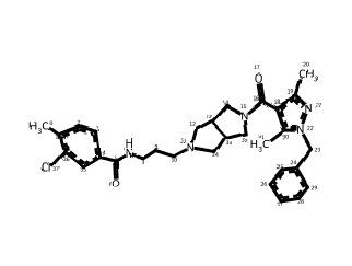 Cc1ccc(C(=O)NCCCN2CC3CN(C(=O)c4c(C)nn(Cc5ccccc5)c4C)CC3C2)cc1Cl